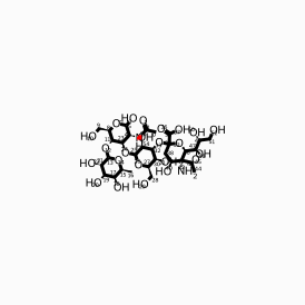 CC(=O)N[C@H]1C(O)O[C@H](CO)[C@@H](OC2O[C@@H](C)[C@@H](O)[C@@H](O)[C@@H]2O)[C@@H]1OC1O[C@H](CO)[C@H](O)[C@H](OC2(C(=O)O)C[C@H](O)[C@](N)(C(C)=O)[C@H]([C@H](O)[C@H](O)CO)O2)[C@H]1O